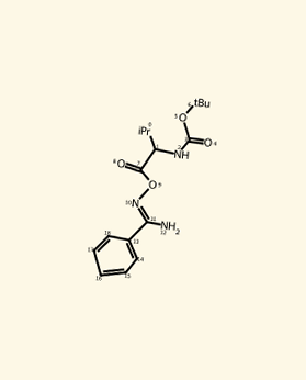 CC(C)C(NC(=O)OC(C)(C)C)C(=O)ON=C(N)c1ccccc1